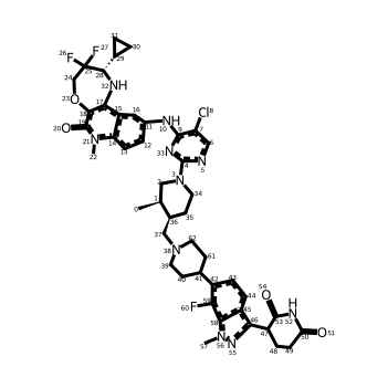 C[C@H]1CN(c2ncc(Cl)c(Nc3ccc4c(c3)c3c(c(=O)n4C)OCC(F)(F)[C@H](C4CC4)N3)n2)CC[C@H]1CN1CCC(c2ccc3c(C4CCC(=O)NC4=O)nn(C)c3c2F)CC1